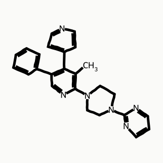 Cc1c(N2CCN(c3ncccn3)CC2)ncc(-c2ccccc2)c1-c1ccncc1